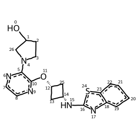 OC1CCN(c2nccnc2O[C@H]2C[C@@H](Nc3nc4ccccc4s3)C2)C1